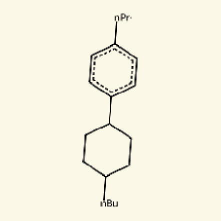 CC[CH]c1ccc(C2CCC(CCCC)CC2)cc1